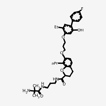 CCCc1c(OCCCOc2cc(O)c(-c3ccc(F)cc3)cc2CC)ccc2c1OC(C(=O)NCCCNC(=O)C(C)(C)N)CC2